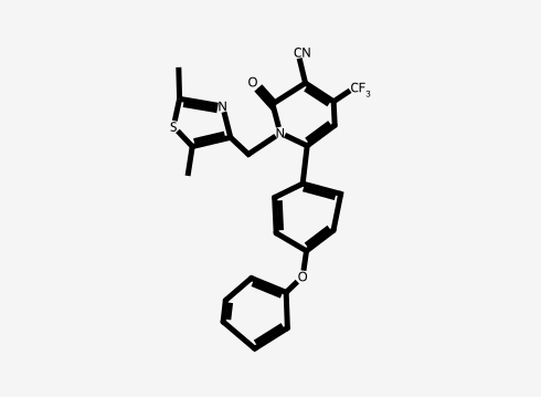 Cc1nc(Cn2c(-c3ccc(Oc4ccccc4)cc3)cc(C(F)(F)F)c(C#N)c2=O)c(C)s1